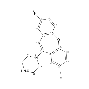 Fc1ccc2c(c1)N=C(N1CCNCC1)c1cc(F)ccc1O2